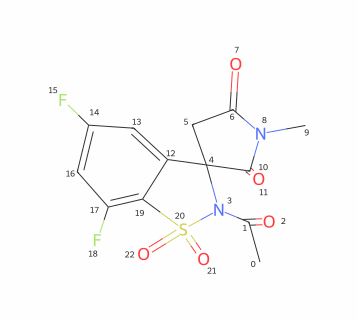 CC(=O)N1C2(CC(=O)N(C)C2=O)c2cc(F)cc(F)c2S1(=O)=O